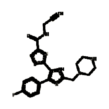 C#CCNC(=O)c1csc(-c2[nH]c(CN3CCNCC3)nc2-c2ccc(F)cc2)n1